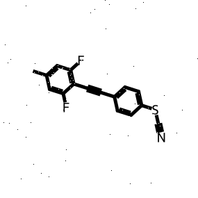 Cc1cc(F)c(C#Cc2ccc(SC#N)cc2)c(F)c1